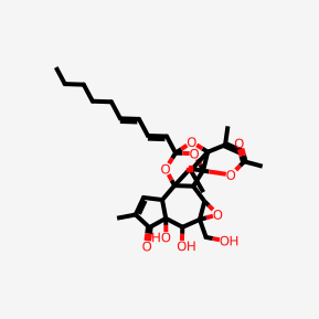 C=C(C)C12OC3(/C=C/C=C/CCCCC)OC1C1C4OC4(CO)C(O)C4(O)C(=O)C(C)=CC4C1(O3)C(C)C2OC(C)=O